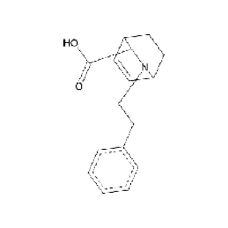 O=C(O)C1C2C=CC(CC2)N1CCc1ccccc1